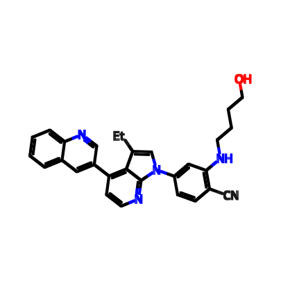 CCc1cn(-c2ccc(C#N)c(NCCCCO)c2)c2nccc(-c3cnc4ccccc4c3)c12